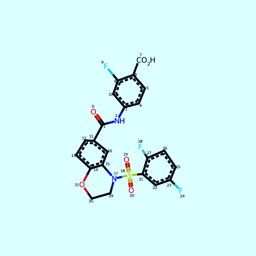 O=C(Nc1ccc(C(=O)O)c(F)c1)c1ccc2c(c1)N(S(=O)(=O)c1cc(F)ccc1F)CCO2